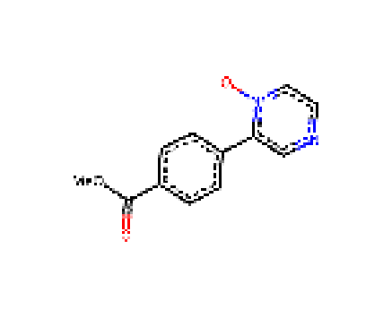 COC(=O)c1ccc(-c2cncc[n+]2[O-])cc1